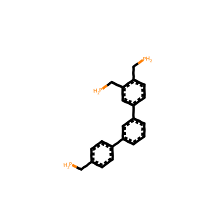 PCc1ccc(-c2cccc(-c3ccc(CP)c(CP)c3)c2)cc1